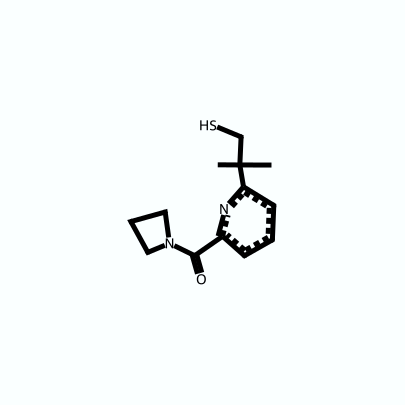 CC(C)(CS)c1cccc(C(=O)N2CCC2)n1